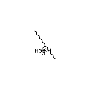 CCCCCCCCC(CCCCCCC)CP(=O)(O)O